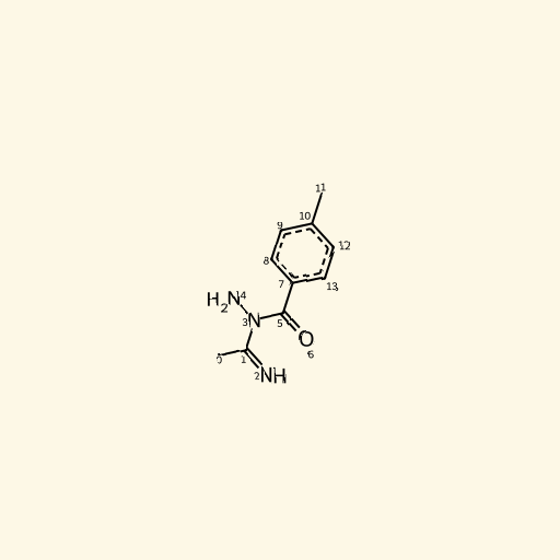 CC(=N)N(N)C(=O)c1ccc(C)cc1